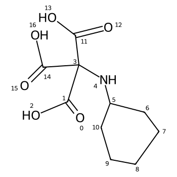 O=C(O)C(NC1CCCCC1)(C(=O)O)C(=O)O